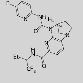 CCC(NC(=O)c1ccc2c(n1)N(C(=O)Nc1ccc(F)cn1)[C@H]1CCN2C1)C(F)(F)F